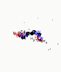 COC(=O)N[C@H](C(=O)N1CCC[C@H]1c1nc2c([nH]1)CCc1cc(-c3ccc4[nH]c([C@@H]5CCCN5C(=O)[C@H](C(C)C)N(C)C(=O)O)nc4c3)ccc1-2)C(C)C